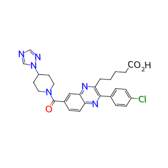 O=C(O)CCCCc1nc2cc(C(=O)N3CCC(n4cncn4)CC3)ccc2nc1-c1ccc(Cl)cc1